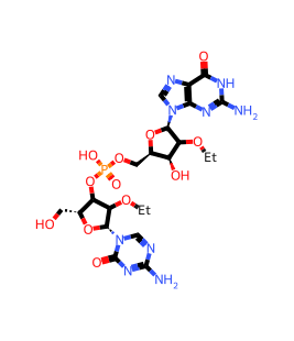 CCOC1C(OP(=O)(O)OC[C@H]2O[C@@H](n3cnc4c(=O)[nH]c(N)nc43)C(OCC)[C@H]2O)[C@@H](CO)O[C@H]1n1cnc(N)nc1=O